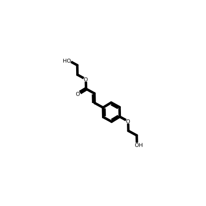 O=C(C=Cc1ccc(OCCO)cc1)OCCO